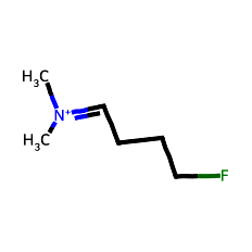 C[N+](C)=CCCCF